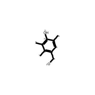 Cc1cc(C[O])c(C)c(C)c1O